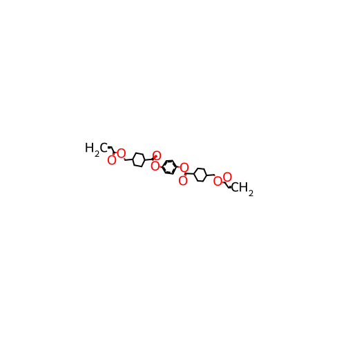 C=CC(=O)OCC1CCC(C(=O)Oc2ccc(OC(=O)C3CCC(COC(=O)C=C)CC3)cc2)CC1